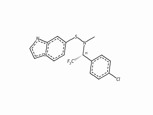 CN(Sc1ccn2ccnc2c1)[C@H](c1ccc(Cl)cc1)C(F)(F)F